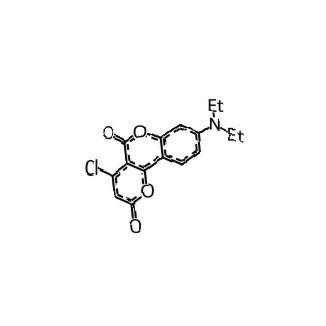 CCN(CC)c1ccc2c(c1)oc(=O)c1c(Cl)cc(=O)oc12